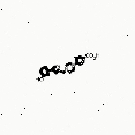 O=C(O)c1ccc(N2CCN(Cc3cc(-c4cccc(O)c4)cs3)CC2)cc1